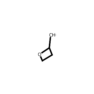 [CH]C1CCO1